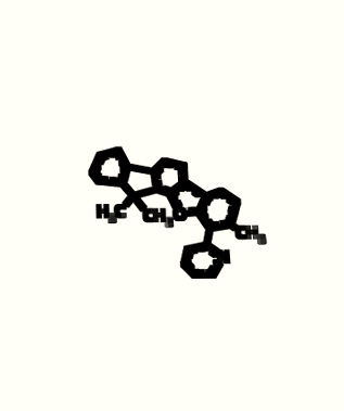 Cc1ccc2c(oc3c4c(ccc32)-c2ccccc2C4(C)C)c1-c1ccccn1